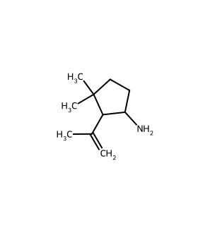 C=C(C)C1C(N)CCC1(C)C